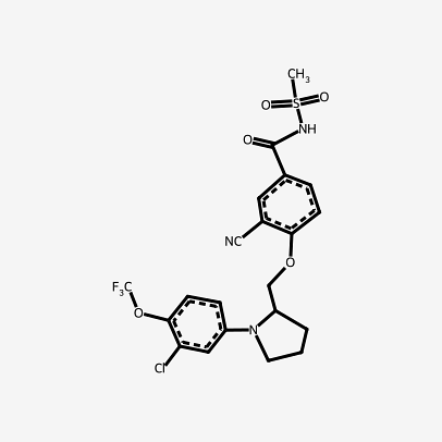 CS(=O)(=O)NC(=O)c1ccc(OCC2CCCN2c2ccc(OC(F)(F)F)c(Cl)c2)c(C#N)c1